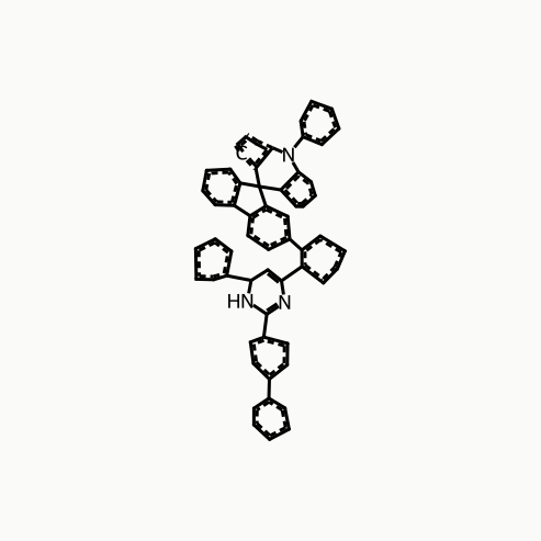 C1=C(c2ccccc2-c2ccc3c(c2)C2(c4ccccc4-3)c3ccccc3N(c3ccccc3)c3ccccc32)N=C(c2ccc(-c3ccccc3)cc2)NC1c1ccccc1